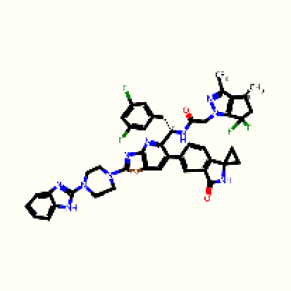 C[C@H]1CC(F)(F)c2c1c(C(F)(F)F)nn2CC(=O)N[C@@H](Cc1cc(F)cc(F)c1)c1nc2nc(N3CCN(c4nc5ccccc5[nH]4)CC3)sc2cc1-c1ccc2c(c1)C(=O)NC21CC1